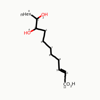 CCCCCCC(O)C(O)CCCCCC=CC(=O)O